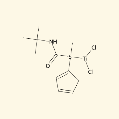 CC(C)(C)NC(=O)[Si](C)(C1=CC=CC1)[Ti]([Cl])[Cl]